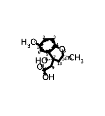 Cc1ccc2c(c1)[C@](O)(CC(=O)O)C[C@@H](C)O2